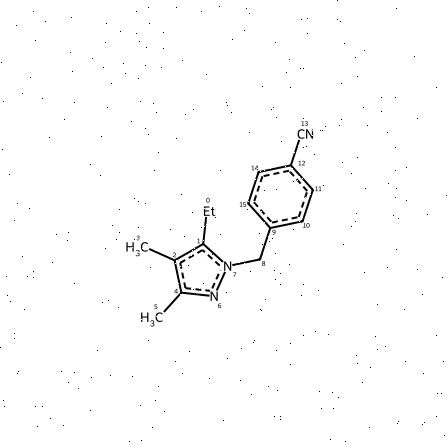 CCc1c(C)c(C)nn1Cc1ccc(C#N)cc1